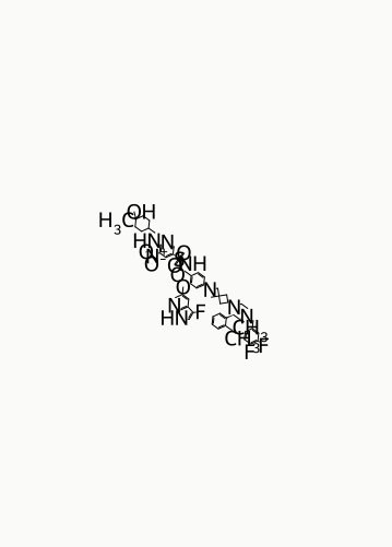 CC(C)c1ccccc1[C@@H]1CN(Cc2ccc(F)c(F)c2)CCN1C1CC2(C1)CN(c1ccc(C(=O)NS(=O)(=O)c3cnc(NCC4CCC(C)(O)CC4)c([N+](=O)[O-])c3)c(Oc3cnc4[nH]cc(F)c4c3)c1)C2